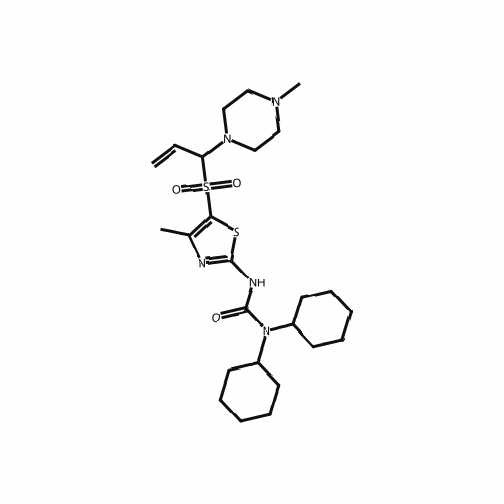 C=CC(N1CCN(C)CC1)S(=O)(=O)c1sc(NC(=O)N(C2CCCCC2)C2CCCCC2)nc1C